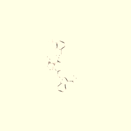 NC(=O)c1cn(CC(=O)N2CC[C@@H](N)[C@H]2C(=O)NCc2cccc(Cl)c2F)c2ccccc12